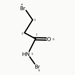 O=C(CCBr)NBr